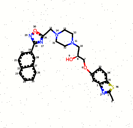 Cc1nc2cc(OC[C@@H](O)CN3CCN(Cc4nc(-c5ccc6ccccc6c5)no4)CC3)ccc2s1